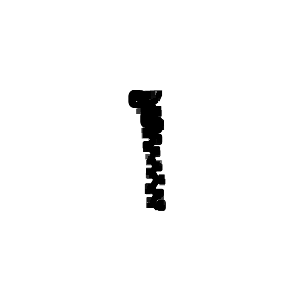 CCCCCCCCCCCCOOCC(C)(C)C=O